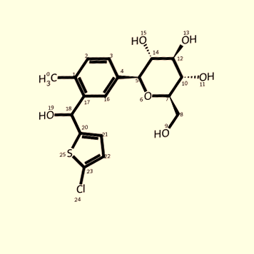 Cc1ccc([C@@H]2O[C@H](CO)[C@@H](O)[C@H](O)[C@H]2O)cc1C(O)c1ccc(Cl)s1